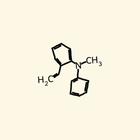 C=Cc1ccccc1N(C)c1ccccc1